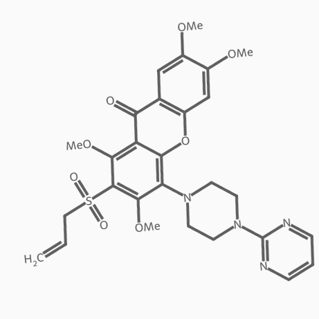 C=CCS(=O)(=O)c1c(OC)c(N2CCN(c3ncccn3)CC2)c2oc3cc(OC)c(OC)cc3c(=O)c2c1OC